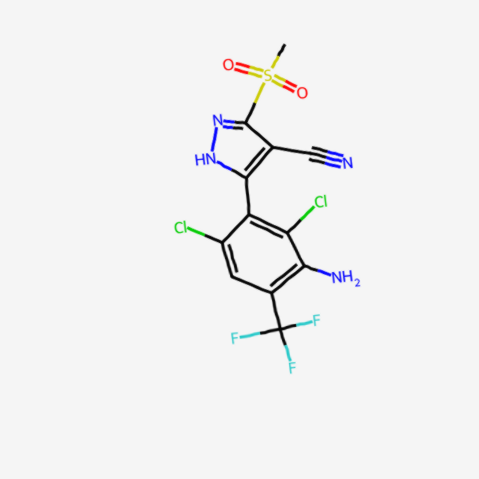 CS(=O)(=O)c1n[nH]c(-c2c(Cl)cc(C(F)(F)F)c(N)c2Cl)c1C#N